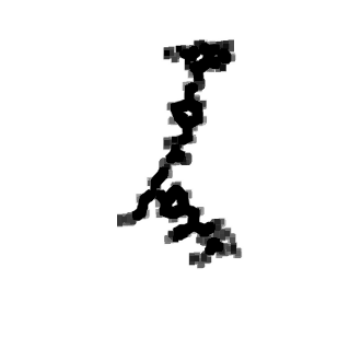 CC(C)(C)OC(=O)/C(C#N)=C/c1ccc(N(CCO)CCOC(=O)NCc2ccc(COc3nc(N)nc4[nH]cnc34)cc2)cc1